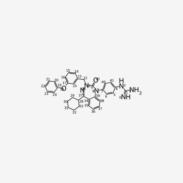 N=C(N)Nc1ccc(N2C(=O)N(Cc3cccc(Oc4ccccc4)c3)N=C(C3CCCCC3)c3ccccc32)cc1